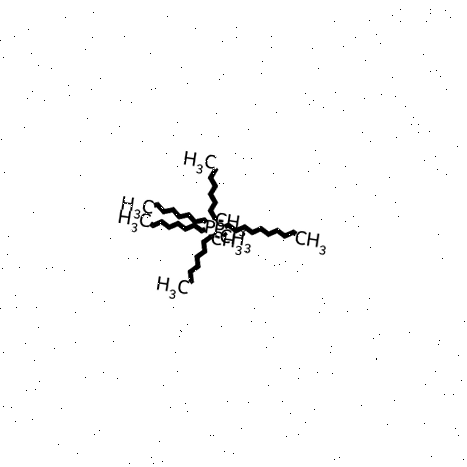 CCCCCCCCCCP(C)(C)(C)P(CCCCCCCC)(CCCCCCCC)(CCCCCCCC)CCCCCCCC